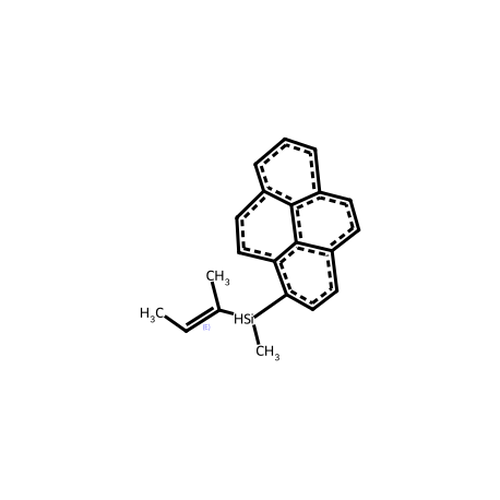 C/C=C(\C)[SiH](C)c1ccc2ccc3cccc4ccc1c2c34